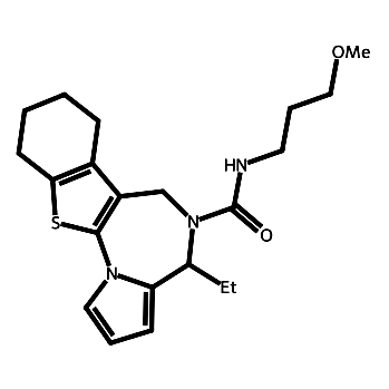 CCC1c2cccn2-c2sc3c(c2CN1C(=O)NCCCOC)CCCC3